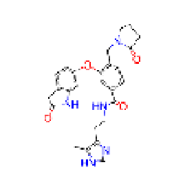 Cc1[nH]cnc1CCNC(=O)c1ccc(CN2CCCC2=O)c(Oc2ccc3c(c2)NC(=O)C3)c1